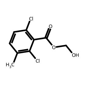 Cc1ccc(Cl)c(C(=O)OCO)c1Cl